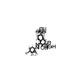 Cc1ccc(/N=N/c2c(O)c(S(=O)(=O)O)cc3cc(S(=O)(=O)O)ccc23)c(C)c1